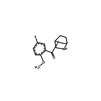 COc1ccc(F)cc1C(=O)N1CC2CCC1CN2